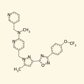 Cc1cc(-c2nc(-c3ccc(OC(F)(F)F)cc3)no2)nn1Cc1ccc(N(C)Cc2cccnc2)nc1